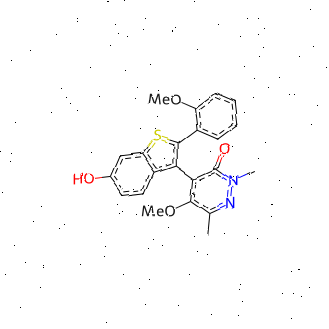 COc1ccccc1-c1sc2cc(O)ccc2c1-c1c(OC)c(C)nn(C)c1=O